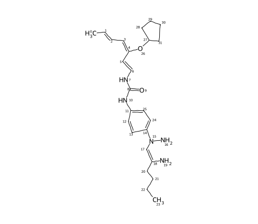 C/C=C/C=C(\C=C\NC(=O)Nc1ccc(N(N)/C=C(\N)CCCC)cc1)OC1CCCC1